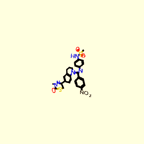 CN1N=C(c2ccc3c(c2)CCCN3/C(=N\c2ccc(NS(C)(=O)=O)cc2)c2ccc([N+](=O)[O-])cc2)CSC1=O